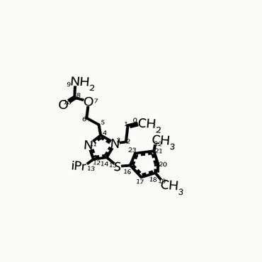 C=CCn1c(CCOC(N)=O)nc(C(C)C)c1Sc1cc(C)cc(C)c1